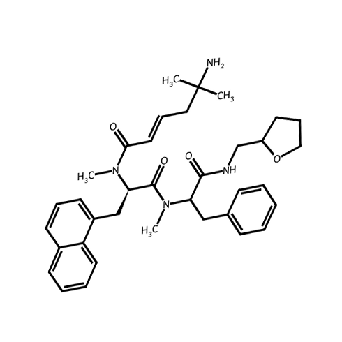 CN(C(=O)[C@@H](Cc1cccc2ccccc12)N(C)C(=O)/C=C/CC(C)(C)N)C(Cc1ccccc1)C(=O)NCC1CCCO1